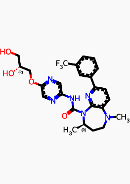 C[C@@H]1CCN(C)c2ccc(-c3cccc(C(F)(F)F)c3)nc2N1C(=O)Nc1cnc(OC[C@H](O)CO)cn1